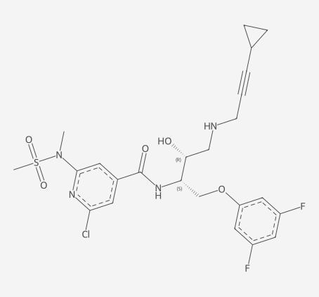 CN(c1cc(C(=O)N[C@@H](COc2cc(F)cc(F)c2)[C@H](O)CNCC#CC2CC2)cc(Cl)n1)S(C)(=O)=O